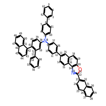 c1ccc(-c2ccc(N(c3ccc(-c4ccc5c(ccc6oc(-c7ccc8ccccc8c7)nc65)c4)cc3)c3ccc(-c4cccc5ccccc45)c(-c4ccccc4)c3)cc2)cc1